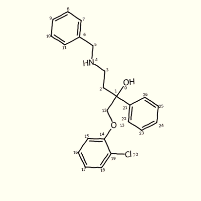 OC(CCNCc1ccccc1)(COc1ccccc1Cl)c1ccccc1